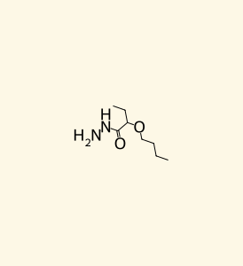 CCCCOC(CC)C(=O)NN